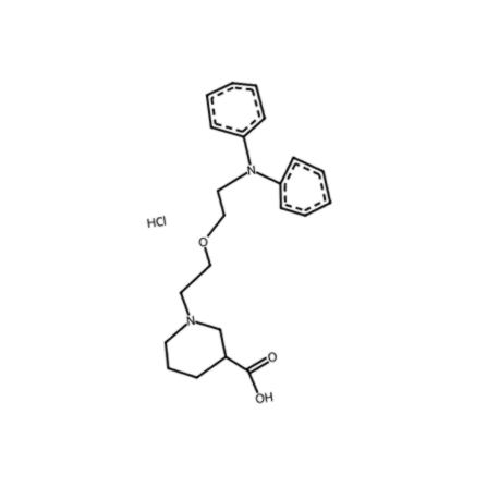 Cl.O=C(O)C1CCCN(CCOCCN(c2ccccc2)c2ccccc2)C1